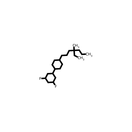 CCCC(C)(CC)CCCC1CCC(C2CC(F)CC(F)C2)CC1